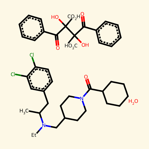 CCN(CC1CCN(C(=O)C2CCCCC2)CC1)C(C)Cc1ccc(Cl)c(Cl)c1.O.O=C(O)C(O)(C(=O)c1ccccc1)C(O)(C(=O)O)C(=O)c1ccccc1